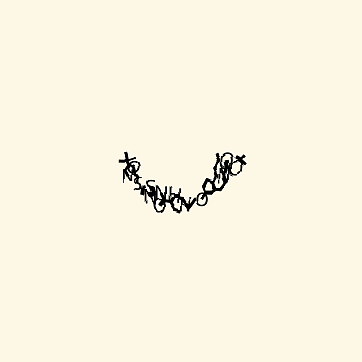 CCCC1c2ccc(OCCN3CCC(C(=O)Nc4ncc(SCc5ncc(C(C)(C)C)o5)s4)CC3)cc2CCN1C(=O)OC(C)(C)C